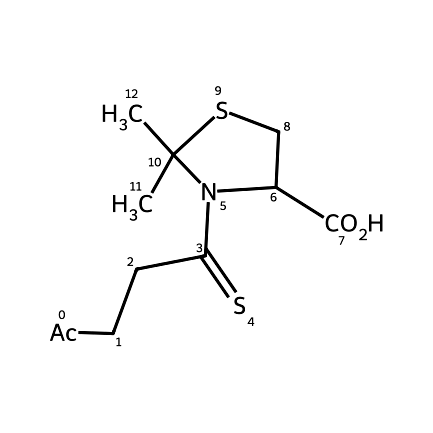 CC(=O)CCC(=S)N1C(C(=O)O)CSC1(C)C